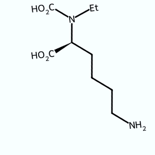 CCN(C(=O)O)[C@@H](CCCCN)C(=O)O